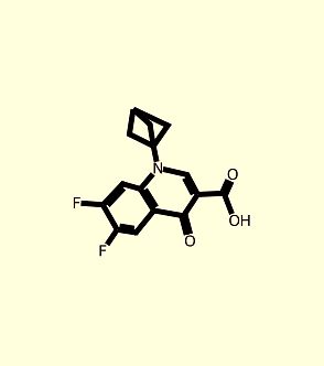 O=C(O)c1cn(C23CC(C2)C3)c2cc(F)c(F)cc2c1=O